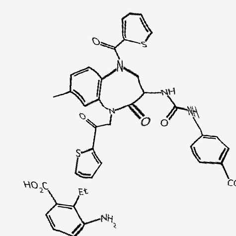 CCOC(=O)c1ccc(NC(=O)NC2CN(C(=O)c3cccs3)c3ccc(C)cc3N(CC(=O)c3cccs3)C2=O)cc1.CCc1c(N)cccc1C(=O)O